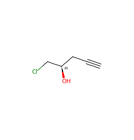 C#CC[C@@H](O)CCl